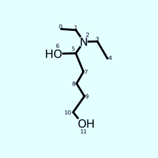 CCN(CC)C(O)CCCCO